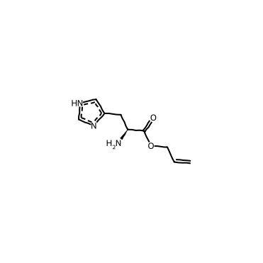 C=CCOC(=O)[C@@H](N)Cc1c[nH]cn1